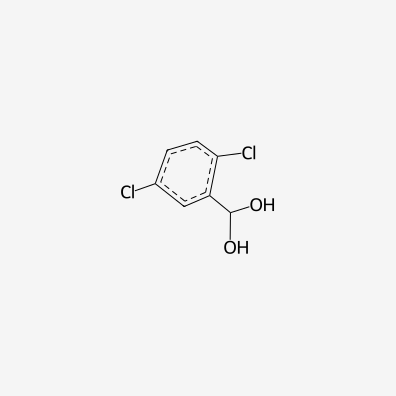 OC(O)c1cc(Cl)ccc1Cl